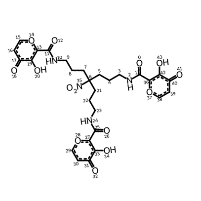 O=C(NCCCC(CCCNC(=O)c1occc(=O)c1O)(CCCNC(=O)c1occc(=O)c1O)[N+](=O)[O-])c1occc(=O)c1O